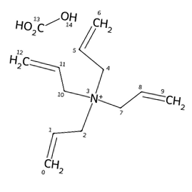 C=CC[N+](CC=C)(CC=C)CC=C.O=C(O)O